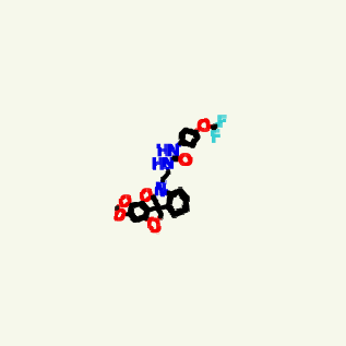 O=C(NCCN1C(=O)C2(COc3cc4c(cc32)OCO4)c2ccccc21)Nc1ccc(OC(F)F)cc1